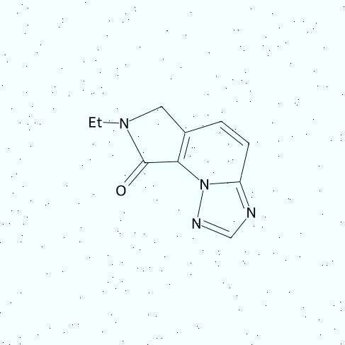 CCN1Cc2ccc3ncnn3c2C1=O